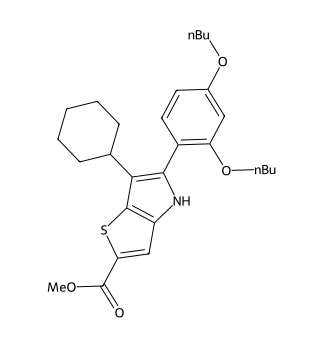 CCCCOc1ccc(-c2[nH]c3cc(C(=O)OC)sc3c2C2CCCCC2)c(OCCCC)c1